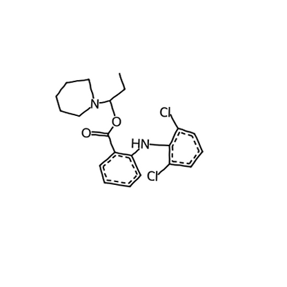 CCC(OC(=O)c1ccccc1Nc1c(Cl)cccc1Cl)N1CCCCC1